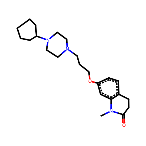 CN1C(=O)CCc2ccc(OCCCN3CCN(C4CCCCC4)CC3)cc21